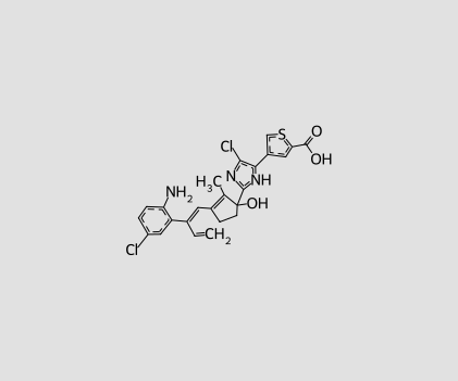 C=C/C(=C\C1=C(C)C(O)(c2nc(Cl)c(-c3csc(C(=O)O)c3)[nH]2)CC1)c1cc(Cl)ccc1N